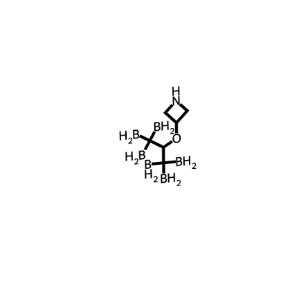 BC(B)(B)C(OC1CNC1)C(B)(B)B